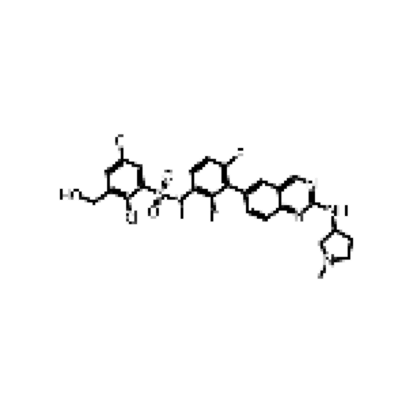 CN1CCC(Nc2ncc3cc(-c4c(F)ccc(NS(=O)(=O)c5cc(Cl)cc(CO)c5Cl)c4F)ccc3n2)C1